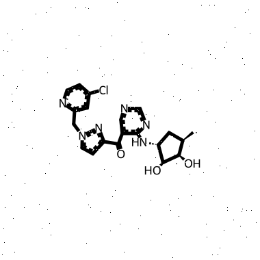 [CH2][C@@H]1C[C@@H](Nc2ncncc2C(=O)c2ccn(Cc3cc(Cl)ccn3)n2)[C@H](O)[C@@H]1O